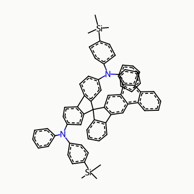 C[Si](C)(C)c1ccc(N(c2ccccc2)c2ccc3c(c2)C2(c4ccccc4-c4cc5c6ccccc6c6ccccc6c5cc42)c2cc(N(c4ccccc4)c4ccc([Si](C)(C)C)cc4)ccc2-3)cc1